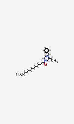 CCCCCCCCCCCCCC(=O)N1CCN(Cc2ccccc2)C(CC)C1